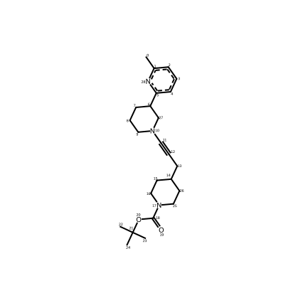 Cc1cccc(C2CCCN(C#CCC3CCN(C(=O)OC(C)(C)C)CC3)C2)n1